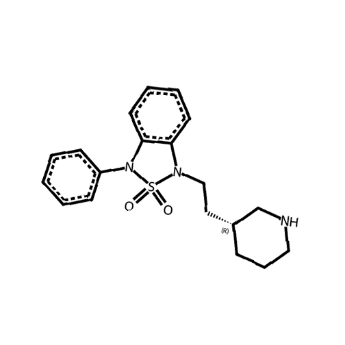 O=S1(=O)N(CC[C@H]2CCCNC2)c2ccccc2N1c1ccccc1